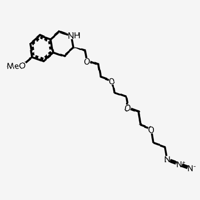 COc1ccc2c(c1)C[C@H](COCCOCCOCCOCCN=[N+]=[N-])NC2